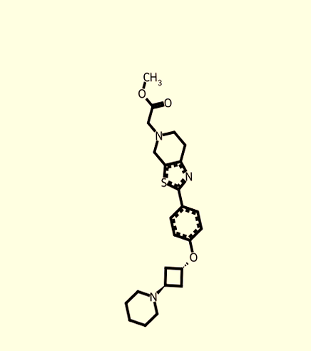 COC(=O)CN1CCc2nc(-c3ccc(O[C@H]4C[C@H](N5CCCCC5)C4)cc3)sc2C1